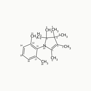 CC1=C(C)C(C)(C)C(C)(C)N1c1c(C)cccc1C